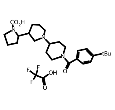 CC(C)(C)c1ccc(C(=O)N2CCC(N3CCCC(C4CCCN4C(=O)O)C3)CC2)cc1.O=C(O)C(F)(F)F